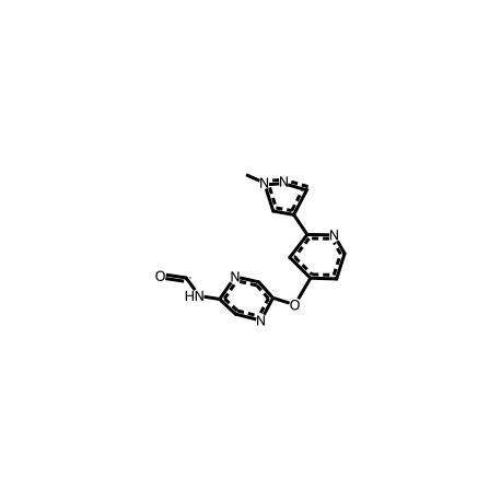 Cn1cc(-c2cc(Oc3cnc(N[C]=O)cn3)ccn2)cn1